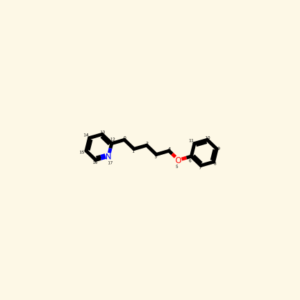 [CH](CCCCOc1ccccc1)c1ccccn1